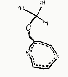 [2H]C([2H])([2H])Oc1cnccn1